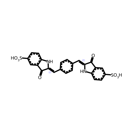 O=C1/C(=C/c2ccc(/C=C3\Nc4ccc(S(=O)(=O)O)cc4C3=O)cc2)Nc2ccc(S(=O)(=O)O)cc21